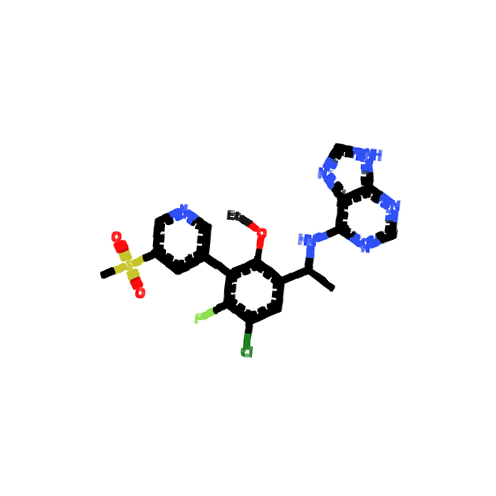 CCOc1c(C(C)Nc2ncnc3[nH]cnc23)cc(Cl)c(F)c1-c1cncc(S(C)(=O)=O)c1